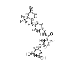 O=C(NC1(C(=O)NCc2ccc(Nc3ccc(Br)cc3C(F)(F)F)cn2)CC1)Oc1cc(O)nc(O)n1